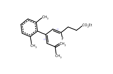 C=C(C)/C=C(\C=C(/F)CCC(=O)OCC)c1c(C)cccc1C